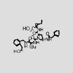 C=CC1C[C@]1(NC(=O)[C@@H]1C[C@@H](NC(=O)Cc2ccccc2)CN1C(=O)N[C@H](C(=O)NCc1ccccc1C[C@H](C)O)C(C)(C)C)C(=O)O